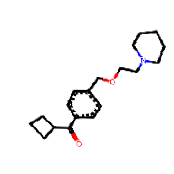 O=C(c1ccc(COCCN2CCCCC2)cc1)C1CCC1